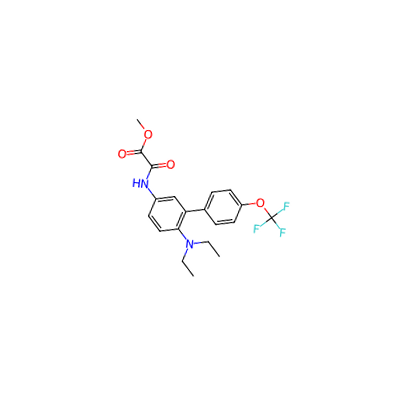 CCN(CC)c1ccc(NC(=O)C(=O)OC)cc1-c1ccc(OC(F)(F)F)cc1